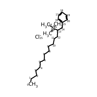 CCCCCCCCCCCCCC(Cc1ccccc1)[N+](C)(C)C.[Cl-]